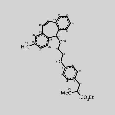 CCOC(=O)C(Cc1ccc(OCCOC2c3ccccc3C=Cc3cc(C)ccc32)cc1)OC